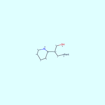 CCCCCCC(CO)C1CCCC[N]1